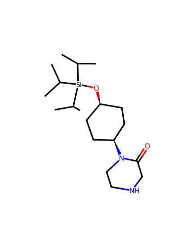 CC(C)[Si](O[C@H]1CC[C@@H](N2CCNCC2=O)CC1)(C(C)C)C(C)C